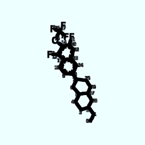 CCC1CCC2CC(c3ccc4c(F)c(OC(F)(F)F)c(F)cc4c3)CCC2C1